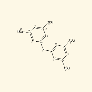 CC(C)(C)c1[c]c(C(C)(C)C)cc(Cc2cc(C(C)(C)C)[c]c(C(C)(C)C)c2)c1